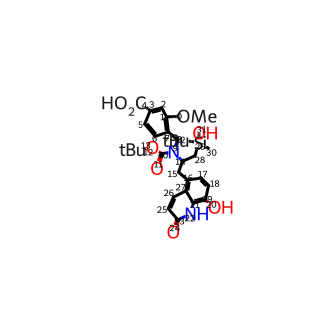 COc1cc(C(=O)O)ccc1CN(C(=O)OC(C)(C)C)C(Cc1ccc(O)c2[nH]c(=O)ccc12)C[Si](C)(O)C(C)(C)C